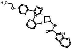 CCOc1ccc(-c2nnc([C@H]3C[C@H](NC(=O)c4cc5cccnc5[nH]4)C3)n2-c2ccccc2F)nc1